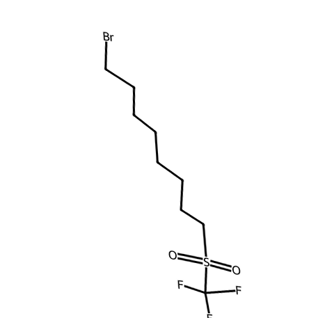 O=S(=O)(CCCCCCCCBr)C(F)(F)F